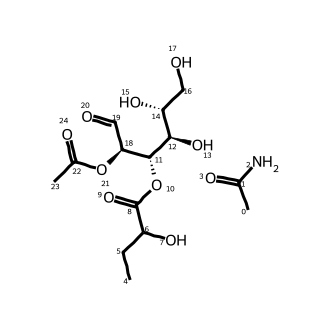 CC(N)=O.CCC(O)C(=O)O[C@@H]([C@H](O)[C@H](O)CO)[C@H](C=O)OC(C)=O